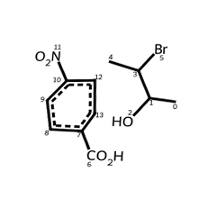 CC(O)C(C)Br.O=C(O)c1ccc([N+](=O)[O-])cc1